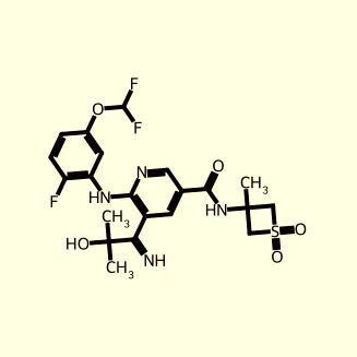 CC1(NC(=O)c2cnc(Nc3cc(OC(F)F)ccc3F)c(C(=N)C(C)(C)O)c2)CS(=O)(=O)C1